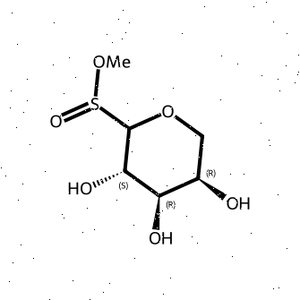 COS(=O)C1OC[C@@H](O)[C@@H](O)[C@@H]1O